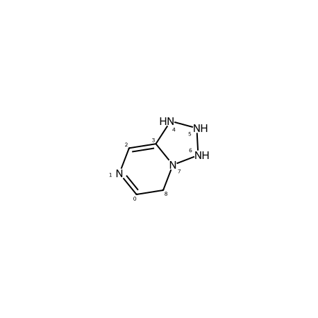 C1=NC=C2NNNN2C1